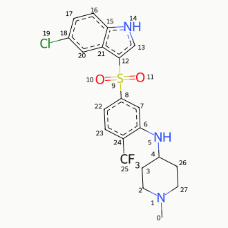 CN1CCC(Nc2cc(S(=O)(=O)c3c[nH]c4ccc(Cl)cc34)ccc2C(F)(F)F)CC1